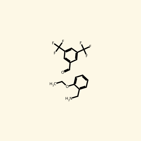 CCOc1ccccc1CN.O=Cc1cc(C(F)(F)F)cc(C(F)(F)F)c1